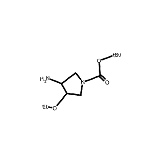 CCOC1CN(C(=O)OC(C)(C)C)CC1N